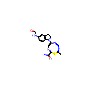 Cc1ncnc(N2CCc3cc(NC=O)ccc32)cnc(C(N)=O)s1